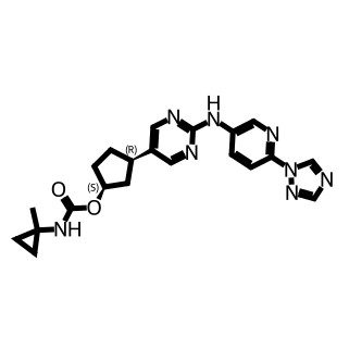 CC1(NC(=O)O[C@H]2CC[C@@H](c3cnc(Nc4ccc(-n5cncn5)nc4)nc3)C2)CC1